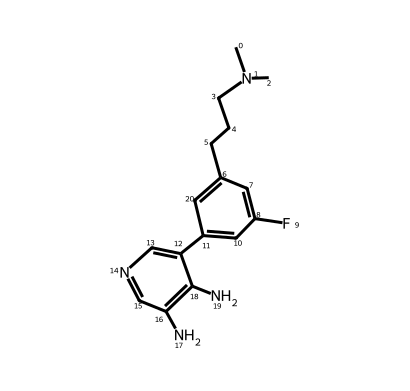 CN(C)CCCc1cc(F)cc(-c2cncc(N)c2N)c1